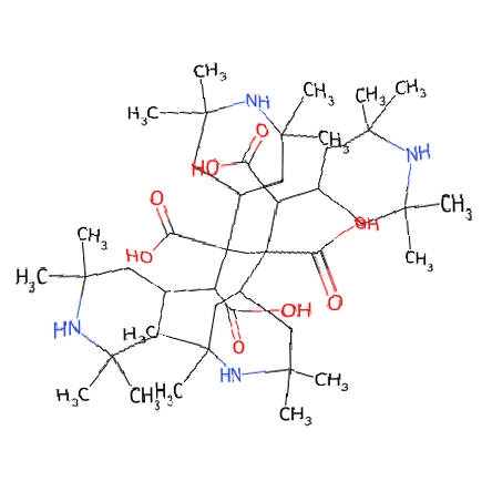 CC1(C)CC(C(C(=O)O)C(C(=O)O)(C2CC(C)(C)NC(C)(C)C2)C(C(=O)O)(C2CC(C)(C)NC(C)(C)C2)C(C(=O)O)C2CC(C)(C)NC(C)(C)C2)CC(C)(C)N1